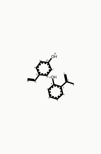 C=C(C)c1ccccc1O.C=Cc1ccc(O)cc1